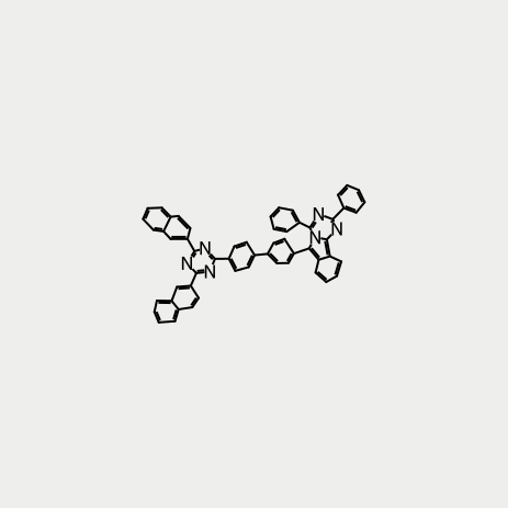 c1ccc(-c2nc(-c3ccccc3)n3c(-c4ccc(-c5ccc(-c6nc(-c7ccc8ccccc8c7)nc(-c7ccc8ccccc8c7)n6)cc5)cc4)c4ccccc4c3n2)cc1